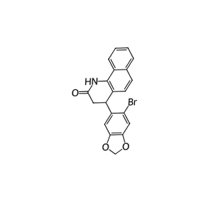 O=C1CC(c2cc3c(cc2Br)OCO3)c2ccc3ccccc3c2N1